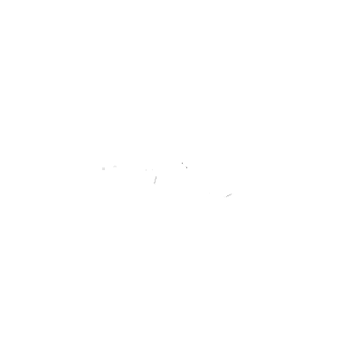 CCCCCCCC/C=C\CCCCCCCC(=O)OCCCCCCCCCCCC.N